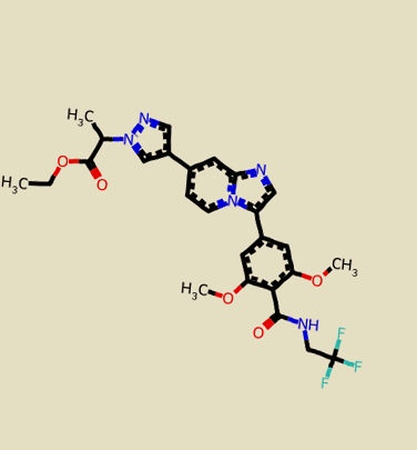 CCOC(=O)C(C)n1cc(-c2ccn3c(-c4cc(OC)c(C(=O)NCC(F)(F)F)c(OC)c4)cnc3c2)cn1